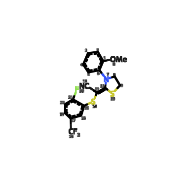 COc1ccccc1N1CCSC1=C(C#N)Sc1cc(C(F)(F)F)ccc1F